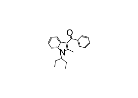 CCC(CC)n1c(C)c(C(=O)c2ccccc2)c2ccccc21